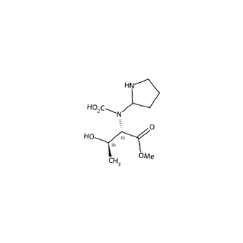 COC(=O)[C@H]([C@@H](C)O)N(C(=O)O)C1CCCN1